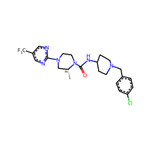 C[C@@H]1CN(c2ncc(C(F)(F)F)cn2)CCN1C(=O)NC1CCN(Cc2ccc(Cl)cc2)CC1